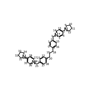 c1cc(C[n+]2ccc(N3CCCC3)cc2)ccc1CCCc1ccc(C[n+]2ccc(N3CCCC3)cc2)cc1